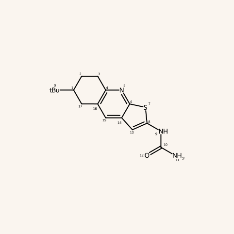 CC(C)(C)C1CCc2nc3sc(NC(N)=O)cc3cc2C1